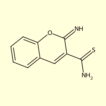 N=c1oc2ccccc2cc1C(N)=S